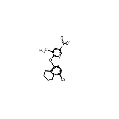 Cc1cc([N+](=O)[O-])cnc1Oc1ccc(Cl)c2c1CCCC2